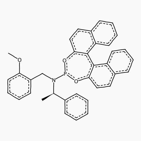 COc1ccccc1CN([C@H](C)c1ccccc1)p1oc2ccc3ccccc3c2c2c(ccc3ccccc32)o1